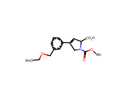 COCOCc1cccc(C2=CC(C(=O)O)N(C(=O)OC(C)(C)C)C2)c1